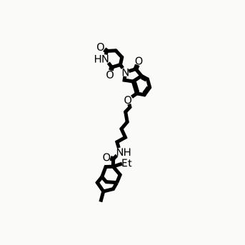 CCC1(C(=O)NCCCCCCOc2cccc3c2CN(C2CCC(=O)NC2=O)C3=O)CC2CC(C)CC(C2)C1